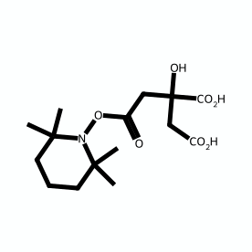 CC1(C)CCCC(C)(C)N1OC(=O)CC(O)(CC(=O)O)C(=O)O